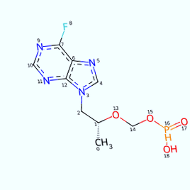 C[C@H](Cn1cnc2c(F)ncnc21)OCO[PH](=O)O